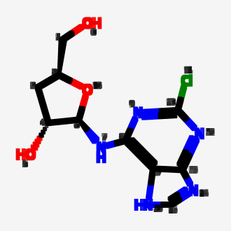 OC[C@@H]1C[C@@H](O)[C@H](Nc2nc(Cl)nc3nc[nH]c23)O1